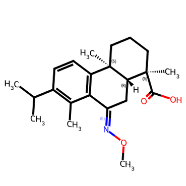 CO/N=C1\C[C@H]2[C@](C)(C(=O)O)CCC[C@]2(C)c2ccc(C(C)C)c(C)c21